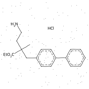 CCOC(=O)C(C)(CCN)Cc1ccc(-c2ccccc2)cc1.Cl